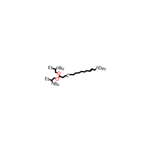 CCCCCCCCCCCC=CCCCCCCCCCCC(OCC(CC)CCCC)OCC(CC)CCCC